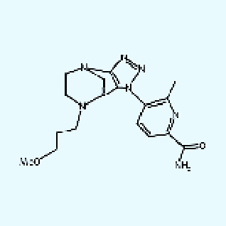 COCCCN1CCN2CC1c1c2nnn1-c1c[c]c(C(N)=O)nc1C